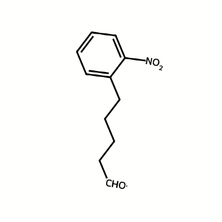 O=[C]CCCCc1ccccc1[N+](=O)[O-]